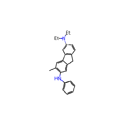 CCN(CC)c1ccc2c(c1)-c1cc(C)c(Nc3ccccc3)cc1C2